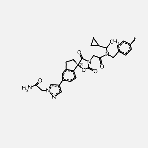 CC(C1CC1)N(Cc1ccc(F)cc1)C(=O)CN1C(=O)O[C@@]2(CCc3cc(-c4cnn(CC(N)=O)c4)ccc32)C1=O